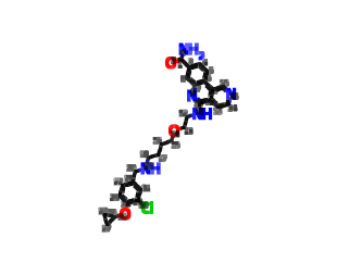 NC(=O)c1ccc2c(c1)nc(NCCOCCCCNCc1ccc(OC3CC3)c(Cl)c1)c1ccncc12